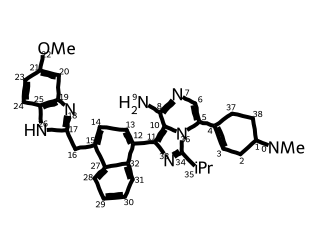 CNC1CC=C(c2cnc(N)c3c(-c4ccc(Cc5nc6cc(OC)ccc6[nH]5)c5ccccc45)nc(C(C)C)n23)CC1